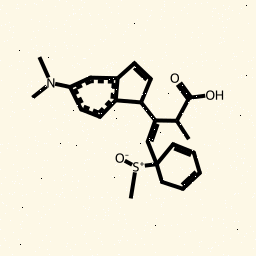 CC(C(=O)O)C(=CC1([S+](C)[O-])C=CC=CC1)C1C=Cc2cc(N(C)C)ccc21